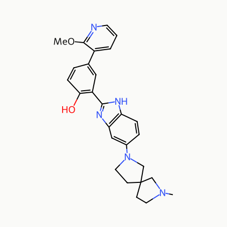 COc1ncccc1-c1ccc(O)c(-c2nc3cc(N4CCC5(CCN(C)C5)C4)ccc3[nH]2)c1